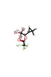 CC1(C)CC1C(OC(=O)C(F)(F)F)C(Br)(Br)Br